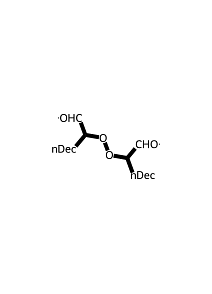 CCCCCCCCCCC([C]=O)OOC([C]=O)CCCCCCCCCC